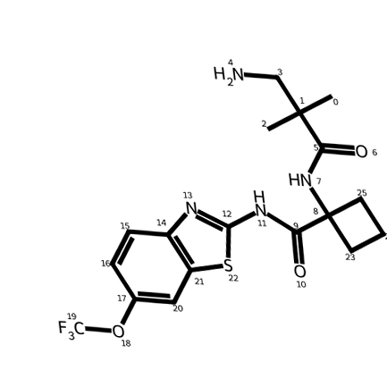 CC(C)(CN)C(=O)NC1(C(=O)Nc2nc3ccc(OC(F)(F)F)cc3s2)CCC1